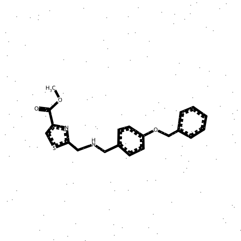 COC(=O)c1csc(CNCc2ccc(OCc3ccccc3)cc2)n1